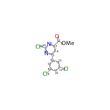 COC(=O)c1cc(-c2cc(Cl)cc(Cl)c2)nc(Cl)n1